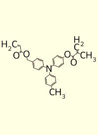 C=CC(=O)OCc1ccc(N(c2ccc(C)cc2)c2ccc(OC(=O)C(=C)C)cc2)cc1